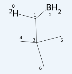 [2H]C(B)C(C)(C)C